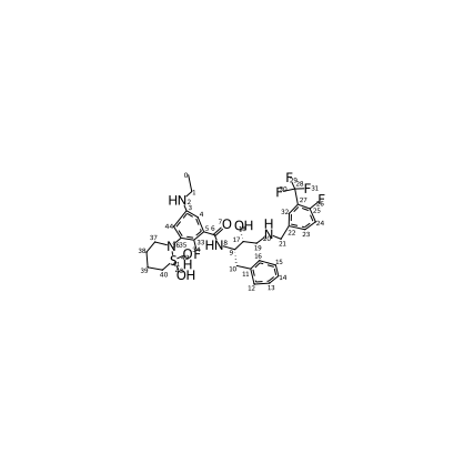 CCNc1cc(C(=O)N[C@@H](Cc2ccccc2)[C@H](O)CNCc2ccc(F)c(C(F)(F)F)c2)c(F)c(N2CCCCS2(O)O)c1